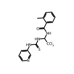 Cc1ccccc1C(=O)NC(NC(=S)Nc1cccnc1)C(Cl)(Cl)Cl